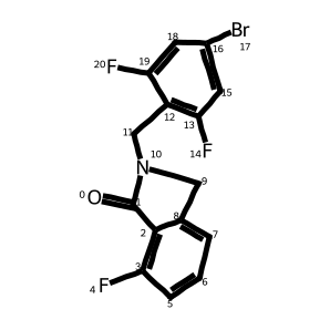 O=C1c2c(F)cccc2CN1Cc1c(F)cc(Br)cc1F